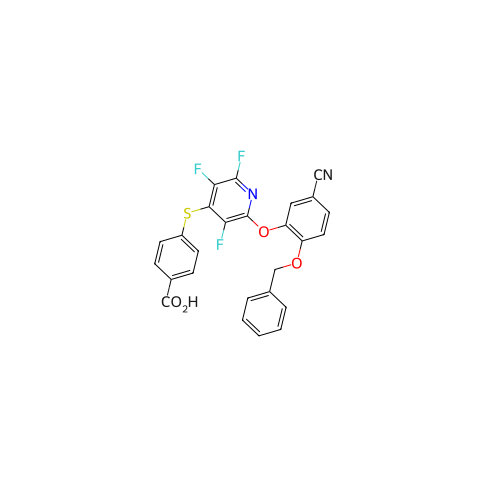 N#Cc1ccc(OCc2ccccc2)c(Oc2nc(F)c(F)c(Sc3ccc(C(=O)O)cc3)c2F)c1